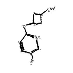 OC1CC(Oc2ccc(Br)cn2)C1